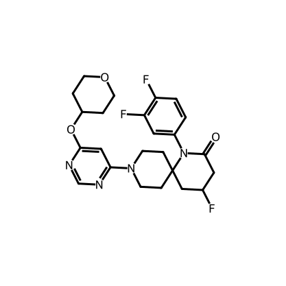 O=C1CC(F)CC2(CCN(c3cc(OC4CCOCC4)ncn3)CC2)N1c1ccc(F)c(F)c1